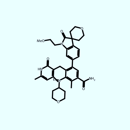 CCN(c1c(C)c(C(N)=O)cc(-c2ccc3c(c2)N(CCOC)C(=O)C32CCOCC2)c1Cc1c(C)cc(C)[nH]c1=O)C1CCOCC1